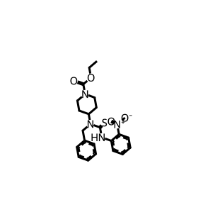 CCOC(=O)N1CCC(N(Cc2ccccc2)C(=S)Nc2ccccc2[N+](=O)[O-])CC1